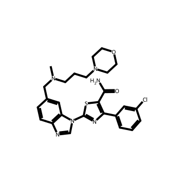 CN(CCCN1CCOCC1)Cc1ccc2ncn(-c3nc(-c4cccc(Cl)c4)c(C(N)=O)s3)c2c1